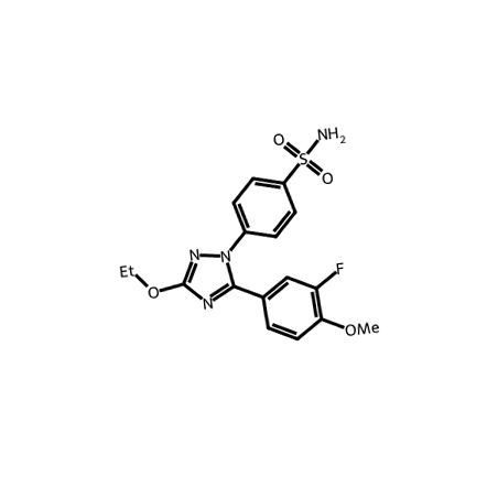 CCOc1nc(-c2ccc(OC)c(F)c2)n(-c2ccc(S(N)(=O)=O)cc2)n1